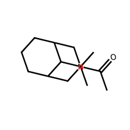 CC(=O)N1CC2CCCC(C1)C2C(C)C